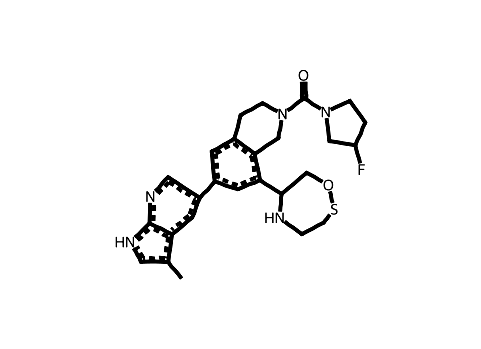 Cc1c[nH]c2ncc(-c3cc4c(c(C5COSCCN5)c3)CN(C(=O)N3CCC(F)C3)CC4)cc12